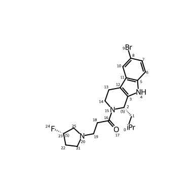 CC(C)C[C@H]1c2[nH]c3ccc(Br)cc3c2CCN1C(=O)CCN1CC[C@H](F)C1